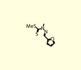 CSC(=S)N(C)N=Cc1ccco1